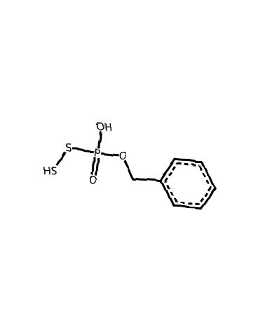 O=P(O)(OCc1ccccc1)SS